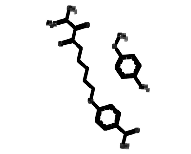 C=C(C)C(=O)C(=O)CCCCCOc1ccc(C(=O)O)cc1.COc1ccc(N)cc1